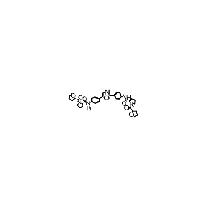 O=C(Nc1ccc(-c2cnc(-c3ccc(NC(=O)[C@@H]4CCCN4C(=O)[C@H]4CCCO4)cc3)o2)cc1)[C@@H]1CCCN1C(=O)[C@H]1CCCO1